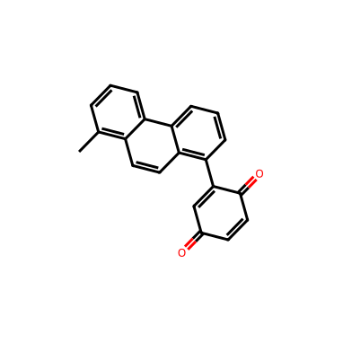 Cc1cccc2c1ccc1c(C3=CC(=O)C=CC3=O)cccc12